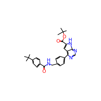 CC(C)(C)OC(=O)c1cc2c(-c3ccc(CNC(=O)c4ccc(C(C)(C)C)cc4)cc3)ncnc2[nH]1